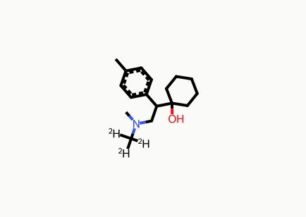 [2H]C([2H])([2H])N(C)CC(c1ccc(C)cc1)C1(O)CCCCC1